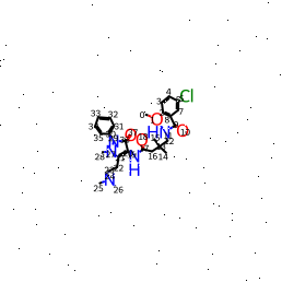 COc1ccc(Cl)cc1C(=O)NCC(C)(C)CC(=O)Nc1c(CCN(C)C)n(C)n(-c2ccccc2)c1=O